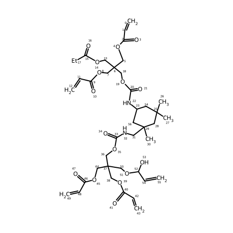 C=CC(=O)OCC(COC(=O)C=C)(COC(=O)CC)COC(=O)NC1CC(C)(C)CC(C)(CNC(=O)OCC(COC(=O)C=C)(COC(=O)C=C)COC(O)C=C)C1